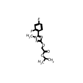 CC(C)OC(=O)COc1nc(-c2ccc(F)cc2F)n(C)n1